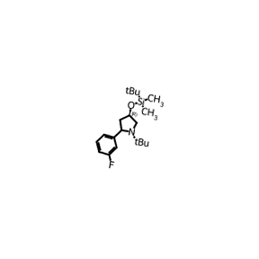 CC(C)(C)N1C[C@H](O[Si](C)(C)C(C)(C)C)CC1c1cccc(F)c1